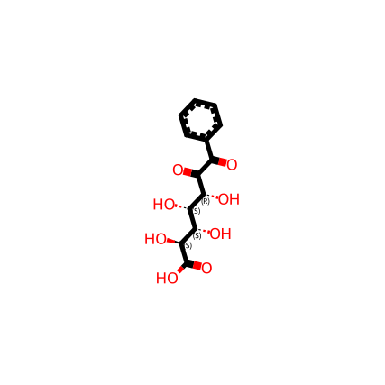 O=C(C(=O)[C@H](O)[C@@H](O)[C@H](O)[C@H](O)C(=O)O)c1ccccc1